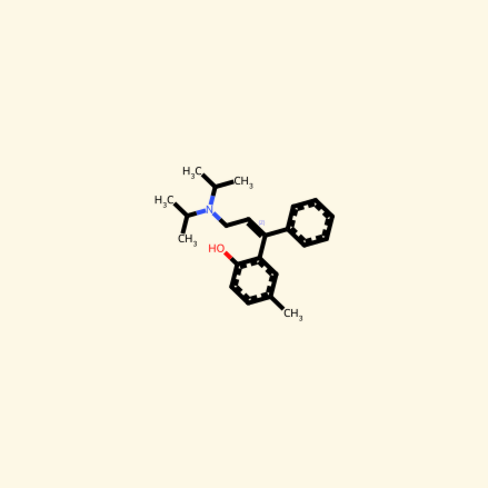 Cc1ccc(O)c(/C(=C\CN(C(C)C)C(C)C)c2ccccc2)c1